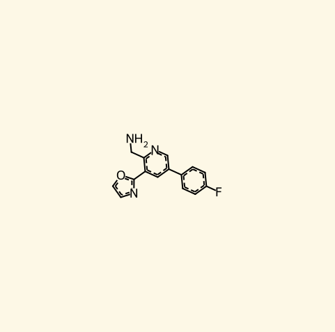 NCc1ncc(-c2ccc(F)cc2)cc1-c1ncco1